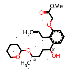 C=CCc1c(OCC(=O)OC)cccc1[C@@H](O)CC[C@H](C)OC1CCCCO1